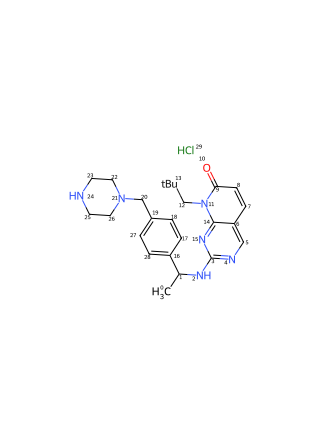 CC(Nc1ncc2ccc(=O)n(CC(C)(C)C)c2n1)c1ccc(CN2CCNCC2)cc1.Cl